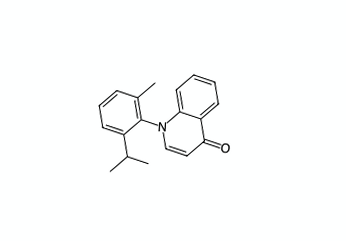 Cc1cccc(C(C)C)c1-n1ccc(=O)c2ccccc21